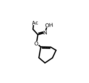 CC(=O)CC(=NO)OC1=CCCCC1